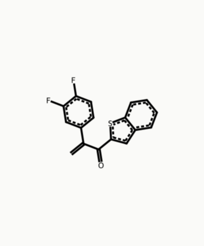 C=C(C(=O)c1cc2ccccc2s1)c1ccc(F)c(F)c1